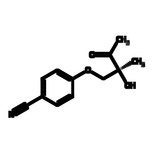 CC(=O)[C@@](C)(O)COc1ccc(C#N)cc1